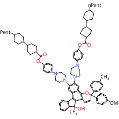 CCCCCC1CCC(C2CCC(C(=O)Oc3ccc(N4CCN(c5cc6c7c(c8c(c6cc5N5CCN(c6ccc(OC(=O)C9CCC(C%10CCC(CCCCC)CC%10)CC9)cc6)CC5)-c5ccccc5C8(O)C(F)(F)F)C=CC(c5ccc(C)cc5)(c5ccc(OC)cc5)O7)CC4)cc3)CC2)CC1